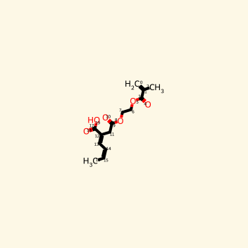 C=C(C)C(=O)OCCOC(=O)C/C(=C\C=C/C)C(=O)O